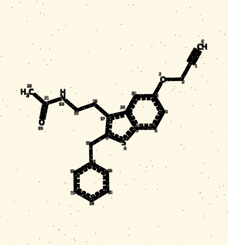 C#CCOc1ccc2sc(Cc3ccccc3)c(CCNC(C)=O)c2c1